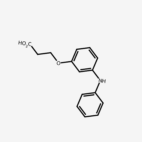 O=C(O)CCOc1cccc(Nc2ccccc2)c1